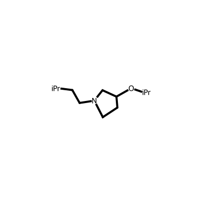 CC(C)CCN1CCC(OC(C)C)C1